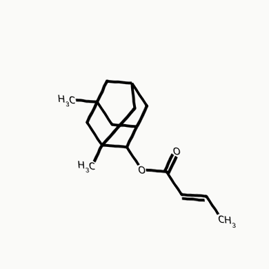 CC=CC(=O)OC1C2CC3CC(C)(C2)CC1(C)C3